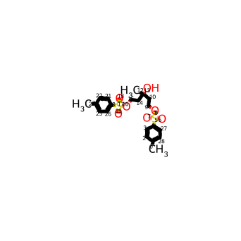 Cc1ccc(S(=O)(=O)OCCC(C)(O)CCOS(=O)(=O)c2ccc(C)cc2)cc1